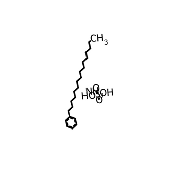 CCCCCCCCCCCCCCCCc1ccccc1.N.O=S(=O)(O)O